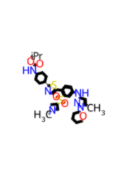 Cc1cc(Nc2ccc(-c3cnc([C@H]4CC[C@H](NC(=O)OC(C)C)CC4)s3)c(S(=O)(=O)C3CN(C)C3)c2)nn1C1CCCCO1